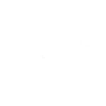 CN(C)CCCNCCC(=O)OCCO